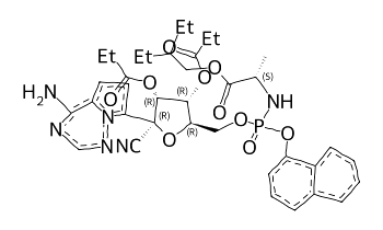 CCC(=O)O[C@H]1[C@@H](OC(=O)CC)[C@](C#N)(c2ccc3c(N)ncnn23)O[C@@H]1COP(=O)(N[C@@H](C)C(=O)OCC(CC)CC)Oc1cccc2ccccc12